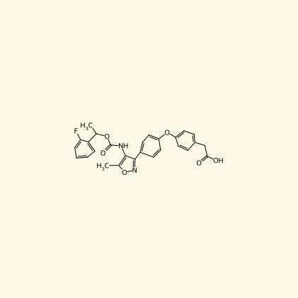 Cc1onc(-c2ccc(Oc3ccc(CC(=O)O)cc3)cc2)c1NC(=O)OC(C)c1ccccc1F